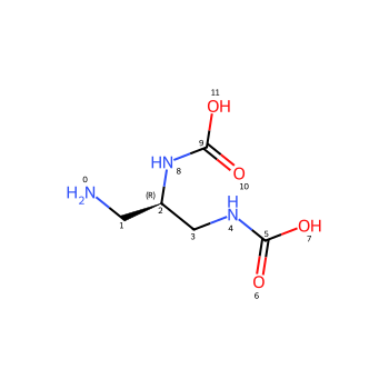 NC[C@H](CNC(=O)O)NC(=O)O